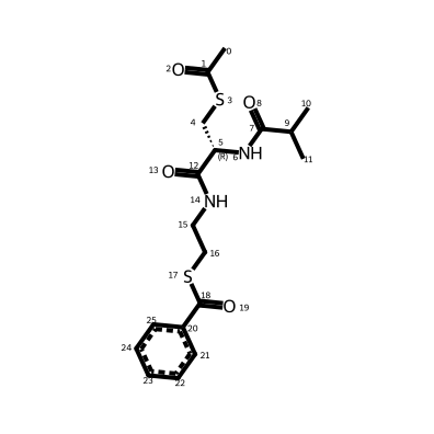 CC(=O)SC[C@H](NC(=O)C(C)C)C(=O)NCCSC(=O)c1ccccc1